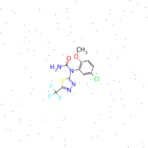 COc1ccc(Cl)cc1N(C(N)=O)c1nnc(C(F)(F)F)s1